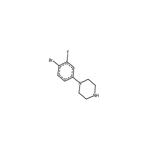 Fc1cc(N2CCNCC2)ccc1Br